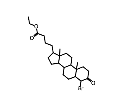 CCOC(=O)CCCC1CCC2C3CCC4C(Br)C(=O)CCC4(C)C3CCC12C